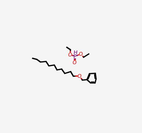 CCCCCCCCCCCOCc1ccccc1.CCO[PH](=O)OCC